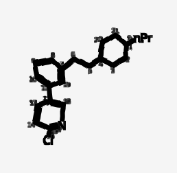 CCCC1CCC(CCc2cccc(-c3ccc(Cl)nc3)c2)CC1